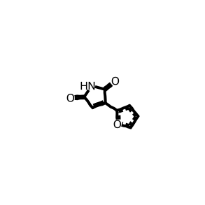 O=C1C=C(c2ccco2)C(=O)N1